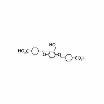 O=C(O)C1CCC(COc2ccc(OCC3CCC(C(=O)O)CC3)c(CO)c2)CC1